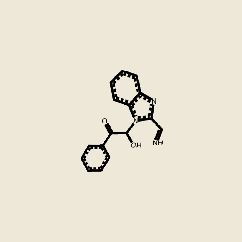 N=Cc1nc2ccccc2n1C(O)C(=O)c1ccccc1